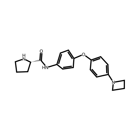 O=C(Nc1ccc(Oc2ccc(N3CCC3)cc2)cc1)[C@@H]1CCCN1